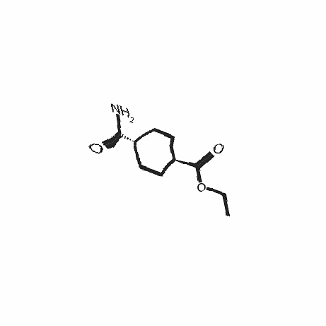 CCOC(=O)[C@H]1CC[C@H](C(N)=O)CC1